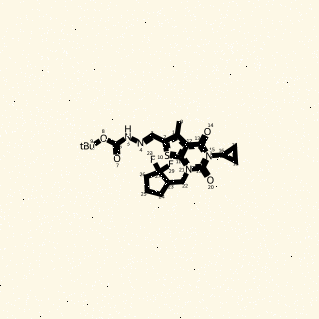 Cc1c(/C=N/NC(=O)OC(C)(C)C)sc2c1c(=O)n(C1CC1)c(=O)n2CC1CCCC1(F)F